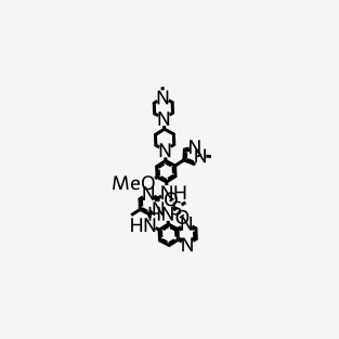 COc1cc(N2CCC(N3CCN(C)CC3)CC2)c(-c2cnn(C)c2)cc1Nc1ncc(C)c(Nc2ccc3nccnc3c2NS(C)(=O)=O)n1